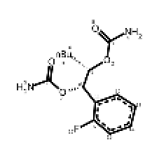 CCCC[C@H](OC(N)=O)[C@@H](OC(N)=O)c1ccccc1F